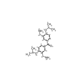 CC(C)Oc1ccc(C(=O)c2ccc(OC(C)C)c(CN)c2)cc1CN